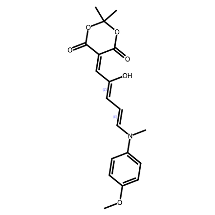 COc1ccc(N(C)/C=C/C=C(\O)C=C2C(=O)OC(C)(C)OC2=O)cc1